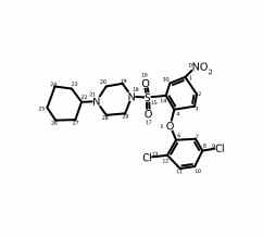 O=[N+]([O-])c1ccc(Oc2cc(Cl)ccc2Cl)c(S(=O)(=O)N2CCN(C3CCCCC3)CC2)c1